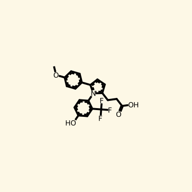 COc1ccc(-c2ccc(CCC(=O)O)n2-c2ccc(O)cc2C(F)(F)F)cc1